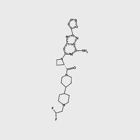 Nc1nc(N2CC[C@H]2C(=O)N2CCC(C3CCN(CC(F)F)CC3)CC2)cc2nc(-c3ccco3)nn12